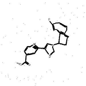 O=C(O)c1ccnc(C2=CN(C3CCc4ccc(F)cc43)CN2)c1